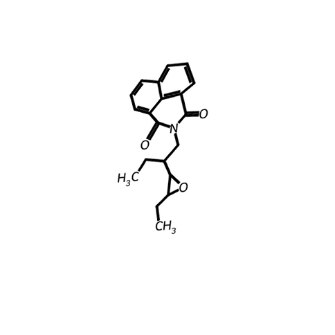 CCC(CN1C(=O)c2cccc3cccc(c23)C1=O)C1OC1CC